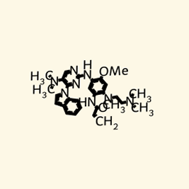 C=CC(=O)Nc1cc(Nc2ncc(N(C)C)c(-n3ccc4ccccc43)n2)c(OC)cc1N(C)CCN(C)C